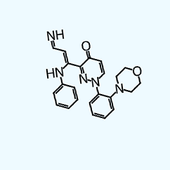 N=C/C=C(\Nc1ccccc1)c1nn(-c2ccccc2N2CCOCC2)ccc1=O